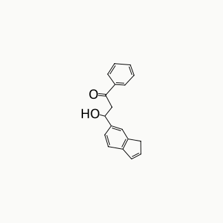 O=C(CC(O)c1ccc2c(c1)CC=C2)c1ccccc1